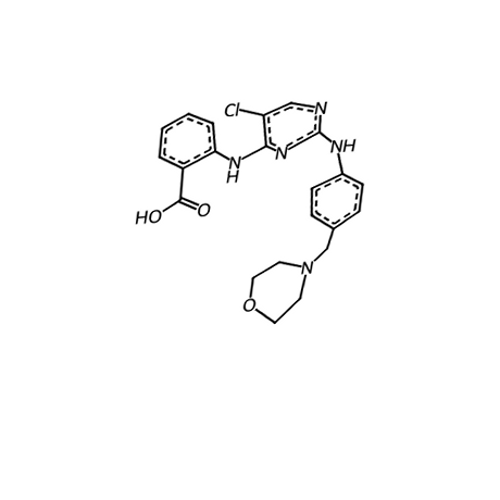 O=C(O)c1ccccc1Nc1nc(Nc2ccc(CN3CCOCC3)cc2)ncc1Cl